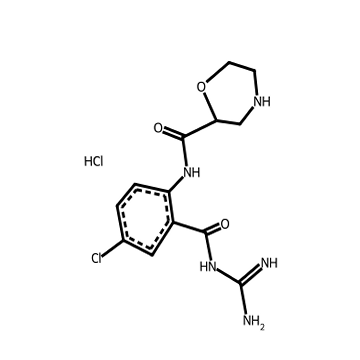 Cl.N=C(N)NC(=O)c1cc(Cl)ccc1NC(=O)C1CNCCO1